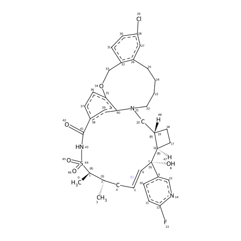 C[C@@H]1[C@@H](C)C/C=C/[C@](O)(c2ccc(F)nc2)[C@@H]2CC[C@H]2CN2CCCCc3cc(Cl)ccc3COc3ccc(cc32)C(=O)NS1(=O)=O